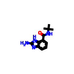 CC(C)(C)NC(=O)c1cccc2nc(N)[nH]c12